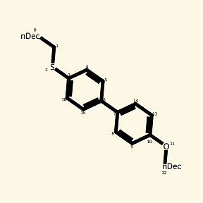 CCCCCCCCCCCSc1ccc(-c2ccc(OCCCCCCCCCC)cc2)cc1